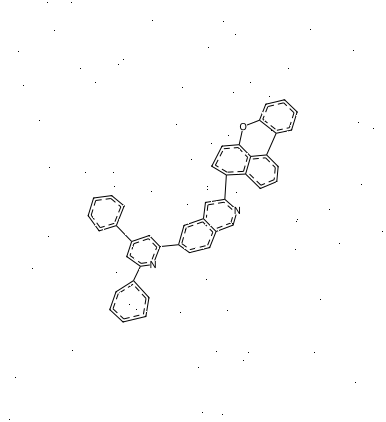 c1ccc(-c2cc(-c3ccccc3)nc(-c3ccc4cnc(-c5ccc6c7c(cccc57)-c5ccccc5O6)cc4c3)c2)cc1